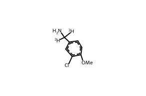 [2H]C([2H])(N)c1ccc(OC)c(Cl)c1